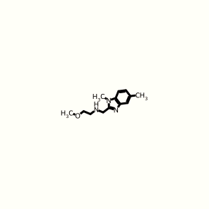 COCCNCc1nc2cc(C)ccc2n1C